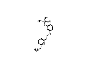 CCC[Si](CCC)(Sc1cccc(OCCc2cccc(CN)n2)c1)C(C)C